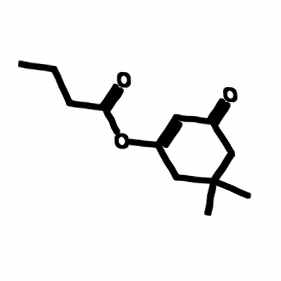 CCCC(=O)OC1=CC(=O)CC(C)(C)C1